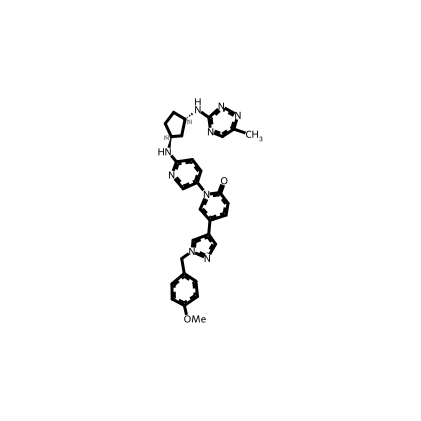 COc1ccc(Cn2cc(-c3ccc(=O)n(-c4ccc(N[C@H]5CC[C@H](Nc6ncc(C)nn6)C5)nc4)c3)cn2)cc1